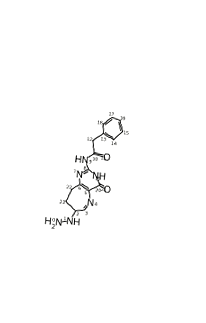 NNC1C=Nc2c(nc(NC(=O)Cc3ccccc3)[nH]c2=O)CC1